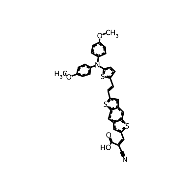 COc1ccc(N(c2ccc(OC)cc2)c2ccc(/C=C/c3cc4cc5sc(/C=C(/C#N)C(=O)O)cc5cc4s3)s2)cc1